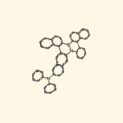 c1ccc(N(c2ccccc2)c2ccc3cc4c(cc3c2)-c2c(ccc3ccccc23)B2c3ccc5ccccc5c3-c3ccccc3N24)cc1